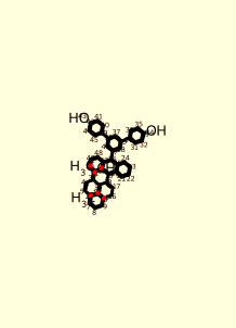 CC(C)=C(/C=C\c1ccccc1)C1=C(C)CCC=C1c1c2ccccc2c(-c2cc(-c3ccc(O)cc3)cc(-c3ccc(O)cc3)c2)c2ccccc12